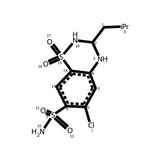 CC(C)CC1Nc2cc(Cl)c(S(N)(=O)=O)cc2S(=O)(=O)N1